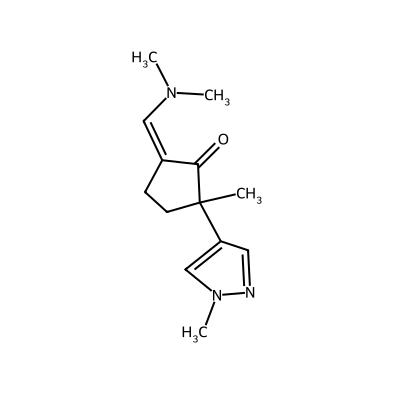 CN(C)C=C1CCC(C)(c2cnn(C)c2)C1=O